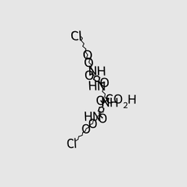 O=C(NCCCCC(NC(=O)c1ccc(C(=O)NCCOCCOCCCCCCCl)cc1)C(=O)O)c1ccc(C(=O)NCCOCCOCCCCCCCl)cc1